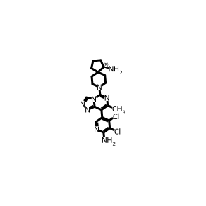 Cc1nc(N2CCC3(CCC[C@H]3N)CC2)n2cnnc2c1-c1cnc(N)c(Cl)c1Cl